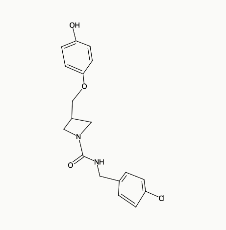 O=C(NCc1ccc(Cl)cc1)N1CC(COc2ccc(O)cc2)C1